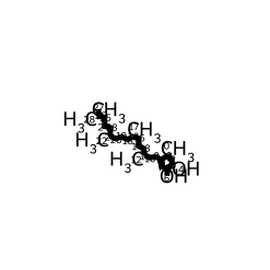 Cc1cc(O)c(O)cc1CCC(C)CCCC(C)CCCC(C)CCCC(C)C